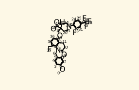 COc1ccc(CN2C(=O)CCc3c(OCC4(C(=O)O)CCN(c5ccc(C(F)(F)F)cc5F)CC4)ccc(F)c32)cc1